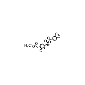 CCOC(=O)Cn1ccc(NC(=O)OC(=O)c2ccc3c(c2)OCO3)nc1=O